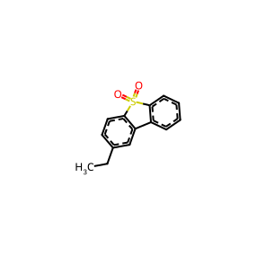 CCc1ccc2c(c1)-c1ccccc1S2(=O)=O